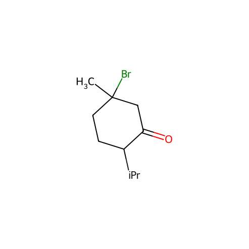 CC(C)C1CCC(C)(Br)CC1=O